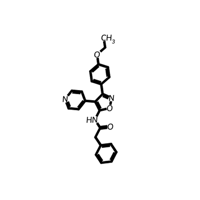 CCOc1ccc(-c2noc(NC(=O)Cc3ccccc3)c2-c2ccncc2)cc1